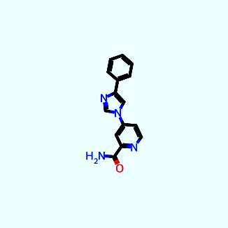 NC(=O)c1cc(-n2cnc(-c3ccccc3)c2)ccn1